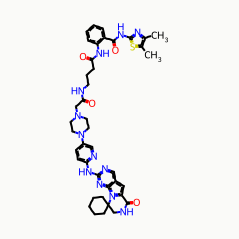 Cc1nc(NC(=O)c2ccccc2NC(=O)CCCNC(=O)CN2CCN(c3ccc(Nc4ncc5cc6n(c5n4)C4(CCCCC4)CNC6=O)nc3)CC2)sc1C